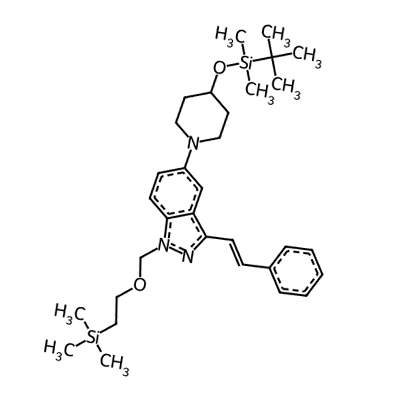 CC(C)(C)[Si](C)(C)OC1CCN(c2ccc3c(c2)c(/C=C/c2ccccc2)nn3COCC[Si](C)(C)C)CC1